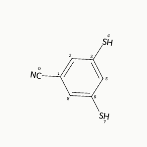 N#Cc1cc(S)cc(S)c1